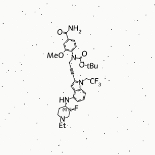 CCN1CC[C@@H](Nc2cccc3c2cc(C#CCN(C(=O)OC(C)(C)C)c2ccc(C(N)=O)cc2OC)n3CC(F)(F)F)[C@@H](F)C1